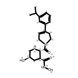 CC(C)c1cccc(C2=CCN(C(=O)[C@H]3NC[C@H](O)C[C@@H]3C(=O)NO)CC2)c1